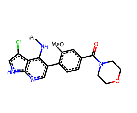 COc1cc(C(=O)N2CCOCC2)ccc1-c1cnc2[nH]cc(Cl)c2c1NC(C)C